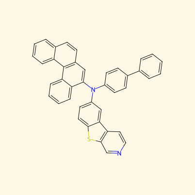 c1ccc(-c2ccc(N(c3ccc4sc5cnccc5c4c3)c3cc4ccc5ccccc5c4c4ccccc34)cc2)cc1